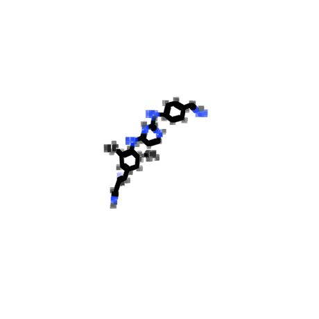 CC1=C(Nc2ccnc(Nc3ccc(C=N)cc3)n2)[C@H](C)CC(/C=C/C#N)=C1